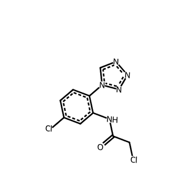 O=C(CCl)Nc1cc(Cl)ccc1-n1cnnn1